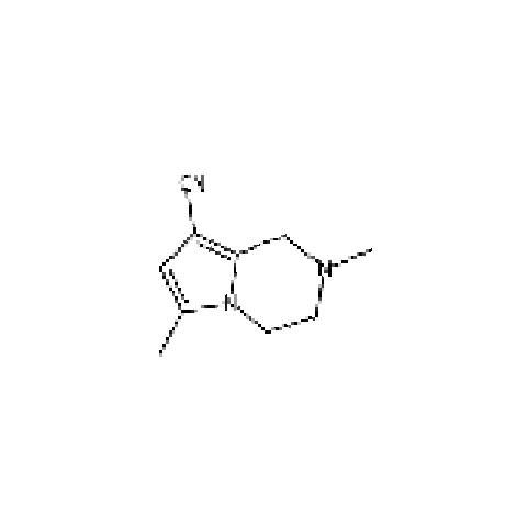 Cc1cc(C#N)c2n1CCN(C)C2